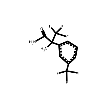 NC(=O)C(N)(c1cccc(C(F)(F)F)c1)C(F)(F)F